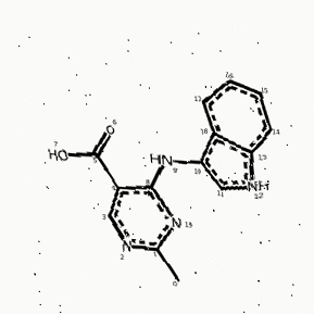 Cc1ncc(C(=O)O)c(Nc2c[nH]c3ccccc23)n1